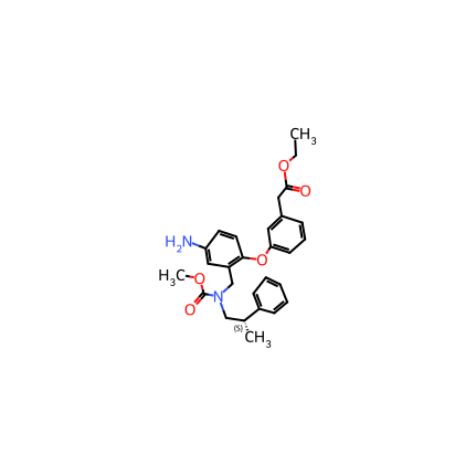 CCOC(=O)Cc1cccc(Oc2ccc(N)cc2CN(C[C@@H](C)c2ccccc2)C(=O)OC)c1